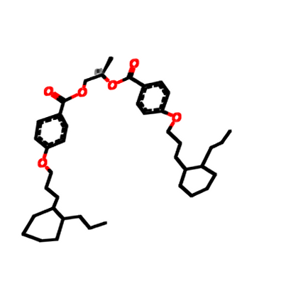 CCCC1CCCCC1CCCOc1ccc(C(=O)OC[C@@H](C)OC(=O)c2ccc(OCCCC3CCCCC3CCC)cc2)cc1